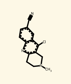 CN1CCc2nc3ccc(C#N)cc3c(Cl)c2C1